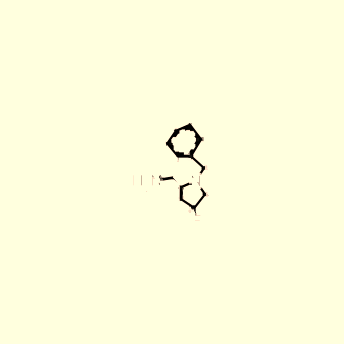 NC[C@@H]1C[C@H](F)CN1Cc1ccccc1